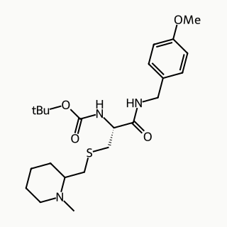 COc1ccc(CNC(=O)[C@H](CSCC2CCCCN2C)NC(=O)OC(C)(C)C)cc1